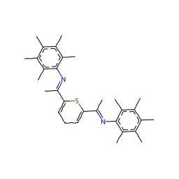 C/C(=N\c1c(C)c(C)c(C)c(C)c1C)C1=CCC=C(/C(C)=N/c2c(C)c(C)c(C)c(C)c2C)S1